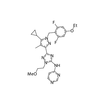 CCOc1cc(F)c(Cn2nc(-c3nc(Nc4ccncn4)n(CCOC)n3)c(C)c2C2CC2)c(F)c1